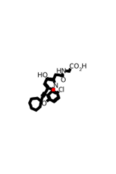 O=C(O)CNC(=O)Cc1ncc(C#CC2(Oc3ccc(Cl)cc3)CCCCCC2)cc1O